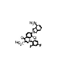 NC1C=CCC2CN(c3ccc4c(=O)c(C(=O)O)cn(-c5ccc(F)cc5F)c4c3Cl)CC12